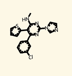 CNc1nc(-n2ccnc2)nc(-c2cccc(Cl)c2)c1-c1cccs1